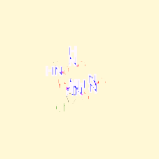 C[C@@H]1C[C@@H](C[C@H](NC(=O)c2cc(Cl)ccc2NC(=O)[C@@H]2CN(C)C(=O)N2C)C(=O)C(=O)NC2CC2)C(=O)N1